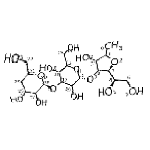 CC1O[C@@H]([C@H](O)CO)C(O[C@H]2OC(CO)[C@H](O)C(O[C@@H]3OC(CO)CC(O)C3O)C2O)C1O